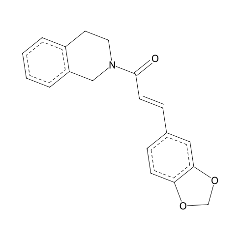 O=C(C=Cc1ccc2c(c1)OCO2)N1CCc2ccccc2C1